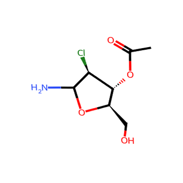 CC(=O)O[C@H]1[C@H](Cl)C(N)O[C@@H]1CO